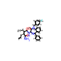 C=CC[C@H](C(N)=O)[C@@H](CC(C)C)C(=O)NC1N=C(c2ccccc2)c2ccccc2N(Cc2ccc(F)cc2)C1=O